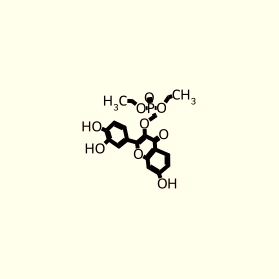 CCOP(=O)(COc1c(-c2ccc(O)c(O)c2)oc2cc(O)ccc2c1=O)OCC